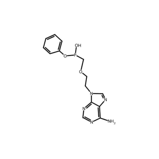 Nc1ncnc2c1ncn2CCOCP(O)Oc1ccccc1